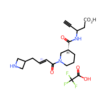 C#CC(CC(=O)O)NC(=O)[C@@H]1CCCN(C(=O)/C=C/CC2CNC2)C1.O=C(O)C(F)(F)F